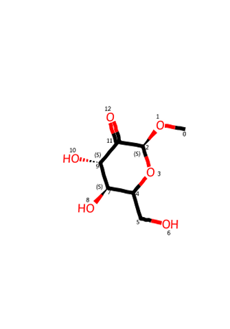 CO[C@H]1OC(CO)[C@@H](O)[C@H](O)C1=O